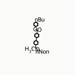 CCCCCCCCCOC(C)c1ccc(-c2ccc(C(=O)Oc3ccc(CCCC)cc3)cc2)cc1